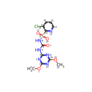 COc1nc(NC(=O)NS(=O)(=O)c2ncccc2Cl)nc(OC)n1